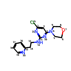 Clc1cc(N2CCOCC2)nc(NCCc2ccccn2)n1